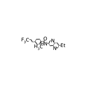 CCc1cnc2cc(NC(=O)c3ccc(/C=C/C(F)(F)F)cc3C)cnc2c1